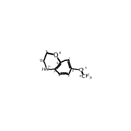 FC(F)(F)Oc1ccc2c(c1)OCCN2